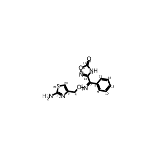 Nc1nc(CON=C(c2ccccc2)c2noc(=O)[nH]2)cs1